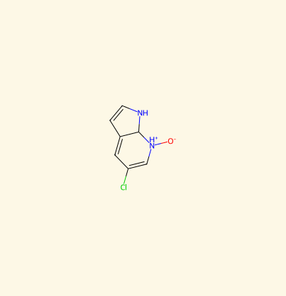 [O-][NH+]1C=C(Cl)C=C2C=CNC21